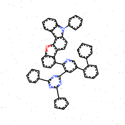 c1ccc(-c2nc(-c3ccccc3)nc(-c3cc(-c4ccccc4-c4ccccc4)cnc3-c3cccc4oc5c(ccc6c5c5ccccc5n6-c5ccccc5)c34)n2)cc1